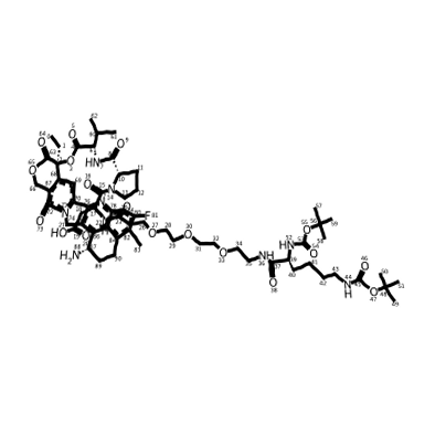 CC[C@@]1(OC(=O)[C@@H](NC(=O)[C@@H]2CCCN2C(=O)[C@H](CC(=O)O)NC(=O)CCOCCOCCOCCNC(=O)[C@H](CCCCNC(=O)OC(C)(C)C)NC(=O)OC(C)(C)C)C(C)C)C(=O)OCc2c1cc1n(c2=O)Cc2c-1nc1cc(F)c(C)c3c1c2[C@@H](N)CC3